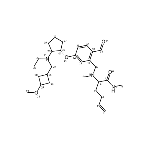 C=CCCC(C(=O)NC)N(C)Cc1cc(O[C@H]2CCCC2N(CC)CC2CC(OC)C2)ccc1C=O